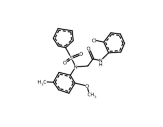 COc1ccc(C)cc1N(CC(=O)Nc1ccccc1Cl)S(=O)(=O)c1ccccc1